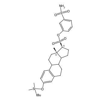 CC(C)(C)[Si](C)(C)Oc1ccc2c(c1)CCC1C2CC[C@@]2(C)C1CC[C@@H]2S(=O)(=O)Oc1cccc(S(N)(=O)=O)c1